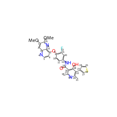 COc1cc2nccc(Oc3ccc(NC(=O)c4c(C)nc(C)c(-c5ccsc5)c4O)cc3F)c2nc1OC